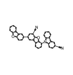 N#Cc1ccc2c(c1)c1ccccc1n2-c1cccc2c1oc1c(C#N)cc(-c3ccc4oc5ccccc5c4c3)cc12